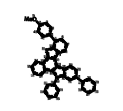 COc1ccc(-c2cccc3c2sc2c4ccccc4c4c(c5ccc(-c6ccccc6)cc5n4-c4ccccc4)c32)cc1